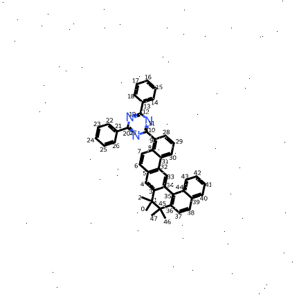 CC1(C)c2cc3ccc4c(-c5nc(-c6ccccc6)nc(-c6ccccc6)n5)cccc4c3cc2-c2c(ccc3ccccc23)C1(C)C